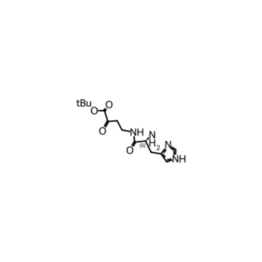 CC(C)(C)OC(=O)C(=O)CCNC(=O)[C@@H](N)Cc1c[nH]cn1